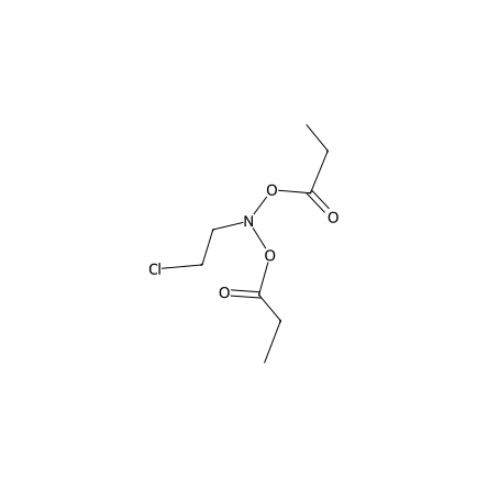 CCC(=O)ON(CCCl)OC(=O)CC